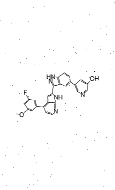 COc1cc(F)cc(-c2ccnc3[nH]c(-c4n[nH]c5ccc(-c6cncc(O)c6)cc45)cc23)c1